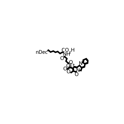 CCCCCCCCCCCCCCCCC(NC(=O)CCC(=O)O[C@]1(CC)C(=O)OCc2c1cc1n(c2=O)Cc2cc3ccccc3nc2-1)C(=O)O